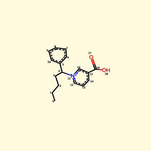 CCCCC(c1ccccc1)[n+]1cccc(C(=O)O)c1